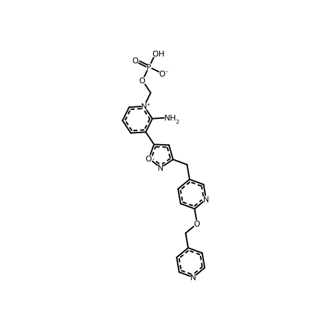 Nc1c(-c2cc(Cc3ccc(OCc4ccncc4)nc3)no2)ccc[n+]1COP(=O)([O-])O